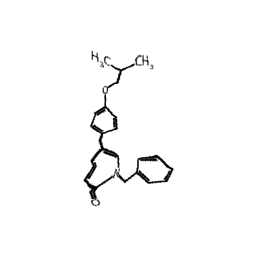 CC(C)COc1ccc(-c2ccc(=O)n(Cc3ccccc3)c2)cc1